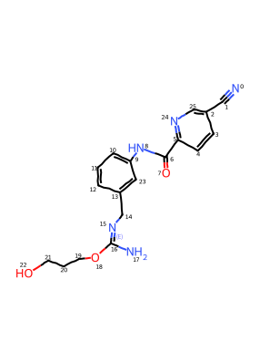 N#Cc1ccc(C(=O)Nc2cccc(C/N=C(\N)OCCCO)c2)nc1